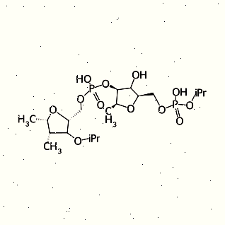 CC(C)OC1[C@@H](COP(=O)(O)O[C@H]2C(O)[C@@H](COP(=O)(O)OC(C)C)O[C@H]2C)O[C@@H](C)[C@H]1C